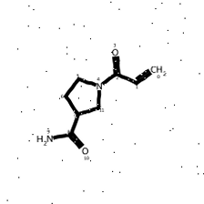 C=CC(=O)N1CCC(C(N)=O)C1